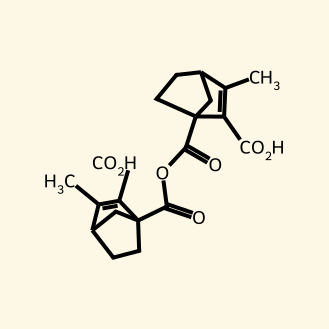 CC1=C(C(=O)O)C2(C(=O)OC(=O)C34CCC(C3)C(C)=C4C(=O)O)CCC1C2